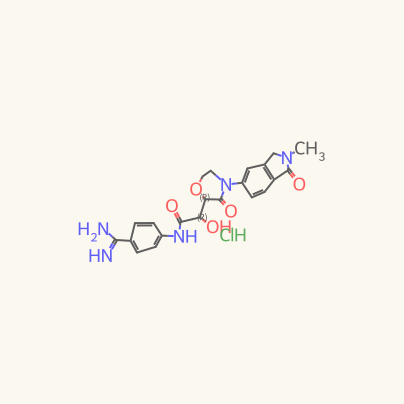 CN1Cc2cc(N3CCO[C@H]([C@@H](O)C(=O)Nc4ccc(C(=N)N)cc4)C3=O)ccc2C1=O.Cl